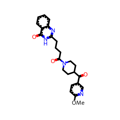 COc1ccc(C(=O)C2CCN(C(=O)CCCc3nc4ccccc4c(=O)[nH]3)CC2)cn1